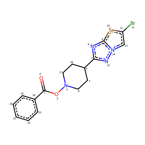 O=C(ON1CCC(c2nc3sc(Br)cn3n2)CC1)c1ccccc1